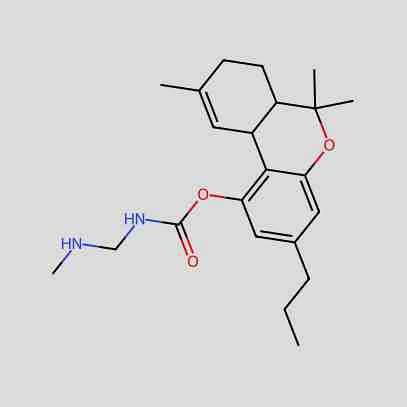 CCCc1cc(OC(=O)NCNC)c2c(c1)OC(C)(C)C1CCC(C)=CC21